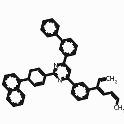 C=C/C(=C\C=C/C)c1cccc(-c2cc(-c3cccc(-c4ccccc4)c3)nc(C3=CCC(c4cccc5ccccc45)C=C3)n2)c1